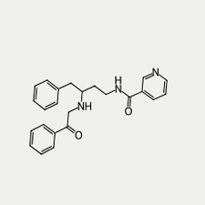 O=C(CNC(CCNC(=O)c1cccnc1)Cc1ccccc1)c1ccccc1